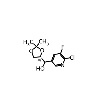 CC1(C)OC[C@H](C(O)c2cnc(Cl)c(F)c2)O1